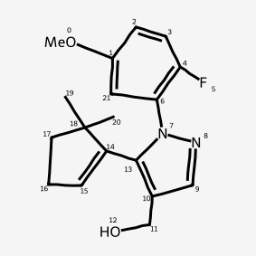 COc1ccc(F)c(-n2ncc(CO)c2C2=CCCC2(C)C)c1